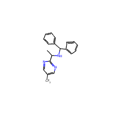 CC(NC(c1ccccc1)c1ccccc1)c1ncc(C(F)(F)F)cn1